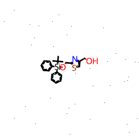 CC(C)(C)[Si](OCc1nc(CO)cs1)(c1ccccc1)c1ccccc1